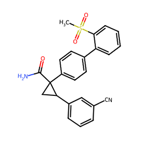 CS(=O)(=O)c1ccccc1-c1ccc(C2(C(N)=O)CC2c2cccc(C#N)c2)cc1